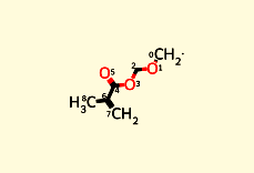 [CH2]OCOC(=O)C(=C)C